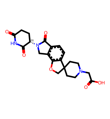 O=C(O)CN1CCC2(CC1)COc1c2ccc2c1CN([C@H]1CCC(=O)NC1=O)C2=O